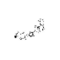 COc1cccc(CCc2nnc(C3=CC=C4NC=CN4C3)s2)c1Cl